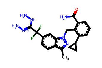 Cc1nn(Cc2c(C(N)=O)cccc2C2CC2)c2cc(C(F)(F)/C(=N/N)NN)ccc12